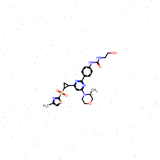 Cc1csc(S(=O)(=O)C2CC2c2cc(N3CCOC[C@@H]3C)nc(-c3ccc(NC(=O)NCCO)cc3)n2)n1